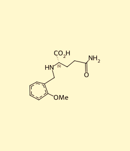 COc1ccccc1CN[C@@H](CCC(N)=O)C(=O)O